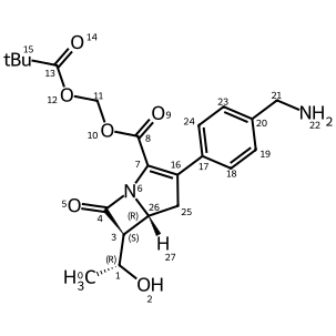 C[C@@H](O)[C@H]1C(=O)N2C(C(=O)OCOC(=O)C(C)(C)C)=C(c3ccc(CN)cc3)C[C@H]12